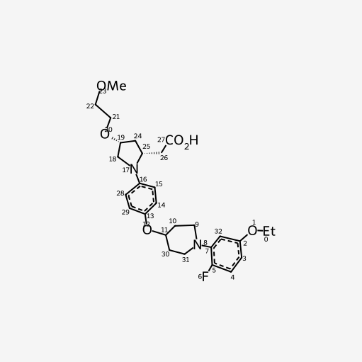 CCOc1ccc(F)c(N2CCC(Oc3ccc(N4C[C@H](OCCOC)C[C@@H]4CC(=O)O)cc3)CC2)c1